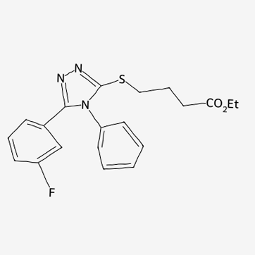 CCOC(=O)CCCSc1nnc(-c2cccc(F)c2)n1-c1ccccc1